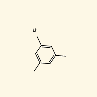 Cc1cc(C)cc(C)c1.[Li]